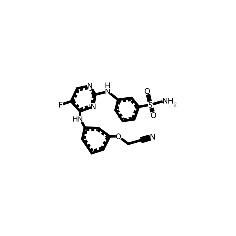 N#CCOc1cccc(Nc2nc(Nc3cccc(S(N)(=O)=O)c3)ncc2F)c1